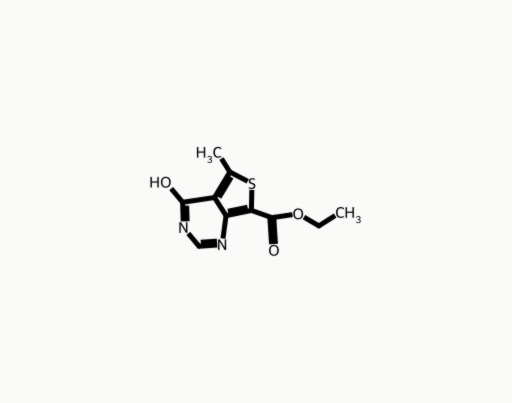 CCOC(=O)c1sc(C)c2c(O)ncnc12